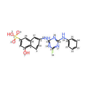 O=S(=O)(O)c1cc(O)c2ccc(Nc3nc(F)nc(Nc4ccccc4)n3)cc2c1